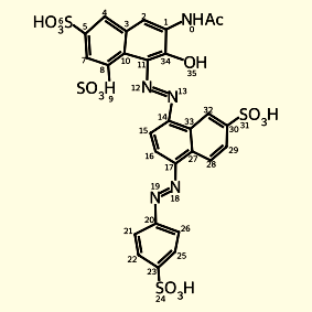 CC(=O)Nc1cc2cc(S(=O)(=O)O)cc(S(=O)(=O)O)c2c(N=Nc2ccc(N=Nc3ccc(S(=O)(=O)O)cc3)c3ccc(S(=O)(=O)O)cc23)c1O